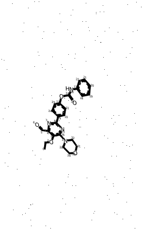 CCOc1c([C]=O)nc(-c2ccc(OC(=O)Nc3ccccc3)cc2)nc1N1CCOCC1